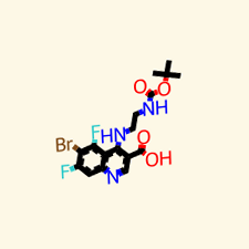 CC(C)(C)OC(=O)NCCNc1c(C(=O)O)cnc2cc(F)c(Br)c(F)c12